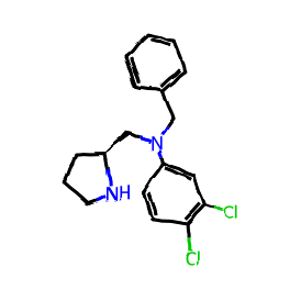 Clc1ccc(N(Cc2ccccc2)C[C@@H]2CCCN2)cc1Cl